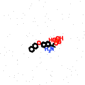 C[C@](N)(COP(=O)(O)O)c1ccc2cc(OC3CCC4(CCCCC4)CC3)ccc2c1